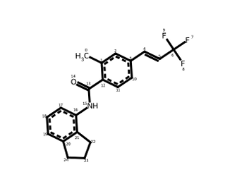 Cc1cc(C=CC(F)(F)F)ccc1C(=O)Nc1cccc2c1CCC2